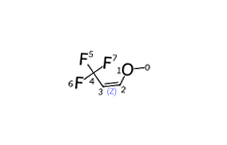 CO/C=C\C(F)(F)F